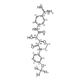 [2H]C([2H])([2H])Oc1cccc(N2CCO[C@H]([C@@H](O)C(=O)Nc3ccc(C(=N)N)cc3)C2=O)c1